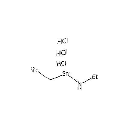 CC[NH][Sn][CH2]C(C)C.Cl.Cl.Cl